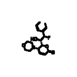 C/C=C\C(=C/C)C(F)C(O)[C@@H]1OC(=O)C=CC1N1CCOCC1